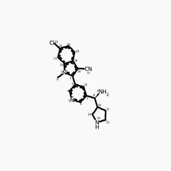 Cn1c(-c2cncc([C@@H](N)C3CCNC3)c2)c(C#N)c2ccc(Cl)cc21